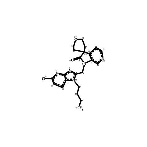 O=C1N(Cc2nc3nc(Cl)ccc3n2CCCC(F)(F)F)c2cnccc2C12CCOCC2